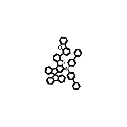 c1ccc(-c2ccc(N(c3ccc(-c4ccccc4)cc3)c3cc4c(c5c3sc3c(-c6cccc7c6oc6ccccc67)cccc35)-c3ccccc3C43c4ccccc4-c4ccccc43)cc2)cc1